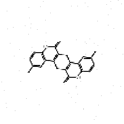 Cc1ccc2[nH]c(=O)c3c(c2c1)Cc1c(c2cc(C)ccc2[nH]c1=O)C3